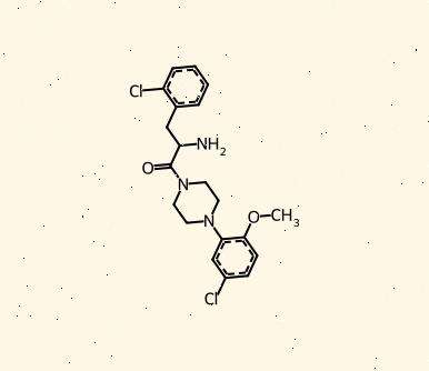 COc1ccc(Cl)cc1N1CCN(C(=O)C(N)Cc2ccccc2Cl)CC1